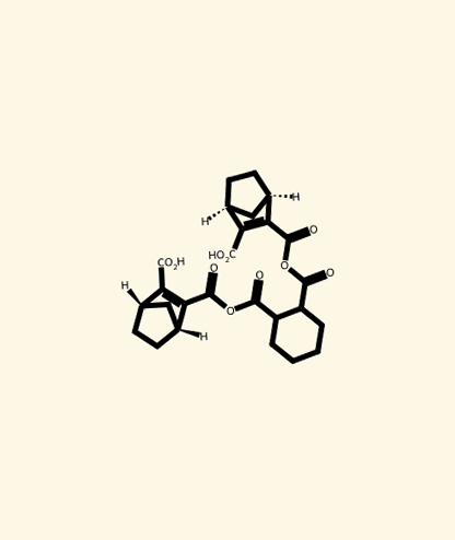 O=C(O)C1=C(C(=O)OC(=O)C2CCCCC2C(=O)OC(=O)C2=C(C(=O)O)[C@H]3CC[C@@H]2C3)[C@@H]2CC[C@H]1C2